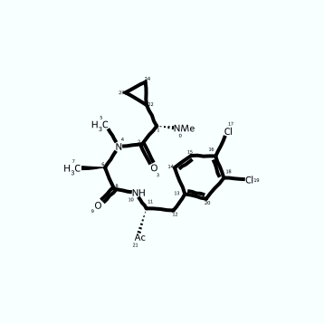 CN[C@H](C(=O)N(C)[C@H](C)C(=O)N[C@H](Cc1ccc(Cl)c(Cl)c1)C(C)=O)C1CC1